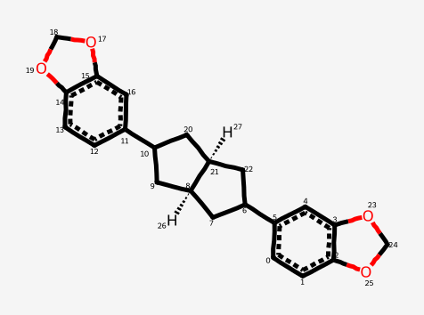 c1cc2c(cc1C1C[C@H]3CC(c4ccc5c(c4)OCO5)C[C@H]3C1)OCO2